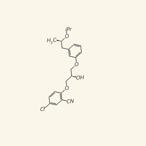 CC(C)O[C@H](C)Cc1cccc(OC[C@@H](O)COc2ccc(Cl)cc2C#N)c1